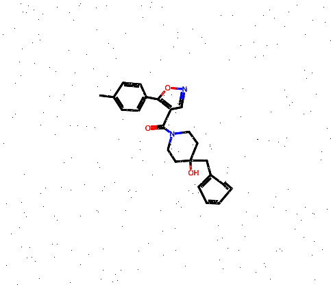 Cc1ccc(-c2oncc2C(=O)N2CCC(O)(Cc3ccccc3)CC2)cc1